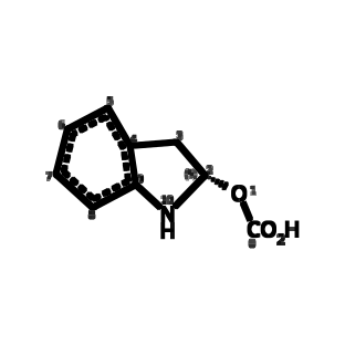 O=C(O)O[C@H]1Cc2ccccc2N1